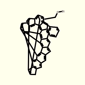 CCOCN1CC2C3=c4c5c6c7c(cc8cc9cc%10cc%11cc%12c%13c(c4c4c5c5c7c8c7c9c%10c8c%11c%13c4c8c75)=C(C3)C%12)CC62C1c1ccccc1